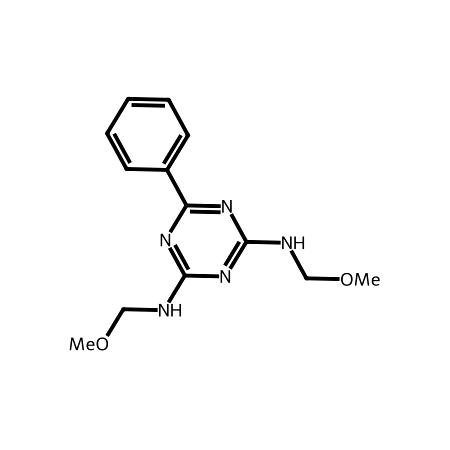 COCNc1nc(NCOC)nc(-c2ccccc2)n1